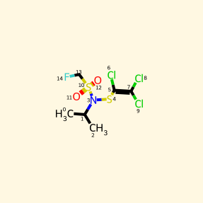 CC(C)N(SC(Cl)=C(Cl)Cl)S(=O)(=O)CF